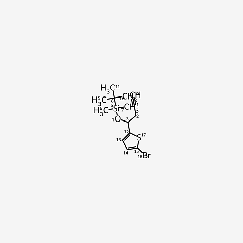 C#CCC(O[Si](C)(C)C(C)(C)C)c1ccc(Br)s1